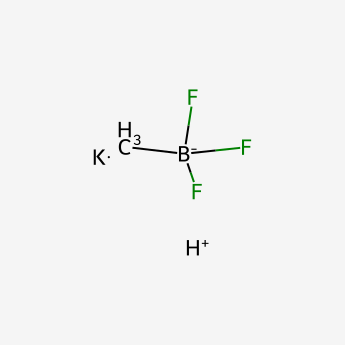 C[B-](F)(F)F.[H+].[K]